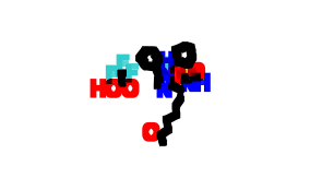 CC(=O)CCCCC[C@H](NS(=O)(=O)c1ccccc1F)c1ncc(-c2ccccc2)[nH]1.O=C(O)C(F)(F)F